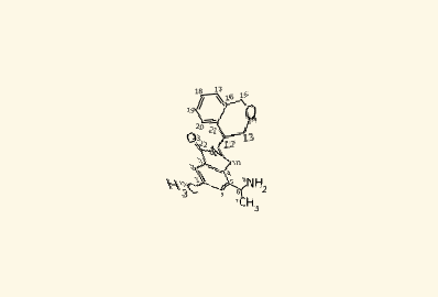 Cc1cc2c(c(C(C)N)c1)CN(C1COCc3ccccc31)C2=O